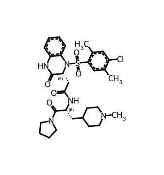 Cc1cc(S(=O)(=O)N2c3ccccc3NC(=O)[C@H]2CC(=O)N[C@H](CC2CCN(C)CC2)C(=O)N2CCCC2)c(C)cc1Cl